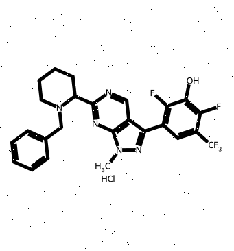 Cl.Cn1nc(-c2cc(C(F)(F)F)c(F)c(O)c2F)c2cnc(C3CCCCN3Cc3ccccc3)nc21